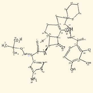 CC(C)(O/N=C(\C(=O)N[C@@H]1C(=O)N2C(C(=O)O)=C(C[N+]3(CCNC(=O)c4ccc(O)c(O)c4Cl)CCCCC3)CS[C@H]12)c1csc(N)n1)C(=O)O